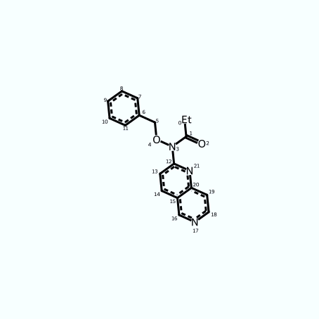 CCC(=O)N(OCc1ccccc1)c1ccc2cnccc2n1